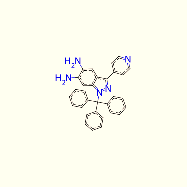 Nc1cc2c(-c3ccncc3)nn(C(c3ccccc3)(c3ccccc3)c3ccccc3)c2cc1N